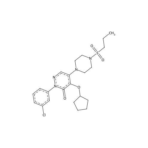 CCCS(=O)(=O)N1CCN(c2cnn(-c3cccc(Cl)c3)c(=O)c2OC2CCCC2)CC1